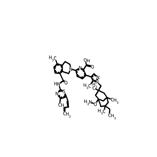 C=C/C=C\c1sc(NC(=O)c2ccc(C)c3c2CN(c2ccc(-c4cnn(CC5(C)CC6(C)CC(C)(CC)CC(ON)(C5)C6)c4C)c(C(=O)O)n2)CC3)nc1C